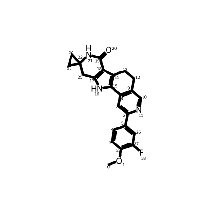 COc1ccc(-c2cc3c(cn2)CCc2c-3[nH]c3c2C(=O)NC2(CC2)C3)cc1F